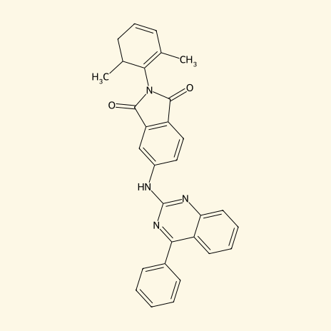 CC1=C(N2C(=O)c3ccc(Nc4nc(-c5ccccc5)c5ccccc5n4)cc3C2=O)C(C)CC=C1